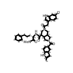 CNC(=O)[C@H](CCCc1ccccc1)NC(=O)C1CN(C(=O)Cc2c[nH]c3cc(Cl)ccc23)CC2CN(C(=O)c3ccc4[nH]c(C)cc4c3)CC21